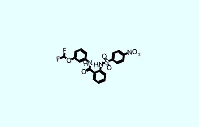 O=C(Nc1cccc(OC(F)F)c1)c1ccccc1NS(=O)(=O)c1ccc([N+](=O)[O-])cc1